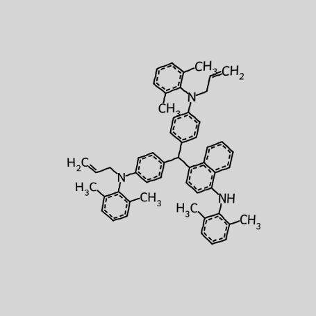 C=CCN(c1ccc(C(c2ccc(N(CC=C)c3c(C)cccc3C)cc2)c2ccc(Nc3c(C)cccc3C)c3ccccc23)cc1)c1c(C)cccc1C